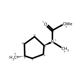 COC(=O)N(C)[C@H]1CC[C@H](C)CC1